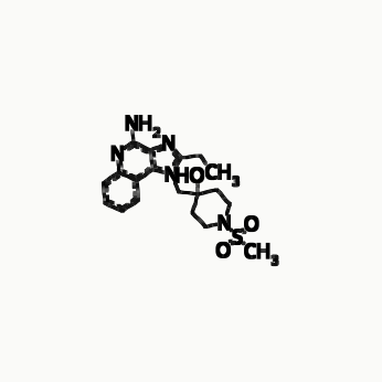 CCc1nc2c(N)nc3ccccc3c2n1CC1(O)CCN(S(C)(=O)=O)CC1